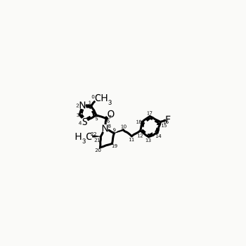 Cc1ncsc1C(=O)N1[C@@H](CCc2ccc(F)cc2)CC[C@H]1C